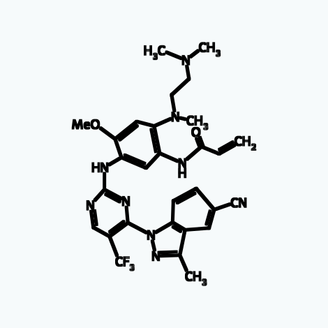 C=CC(=O)Nc1cc(Nc2ncc(C(F)(F)F)c(-n3nc(C)c4cc(C#N)ccc43)n2)c(OC)cc1N(C)CCN(C)C